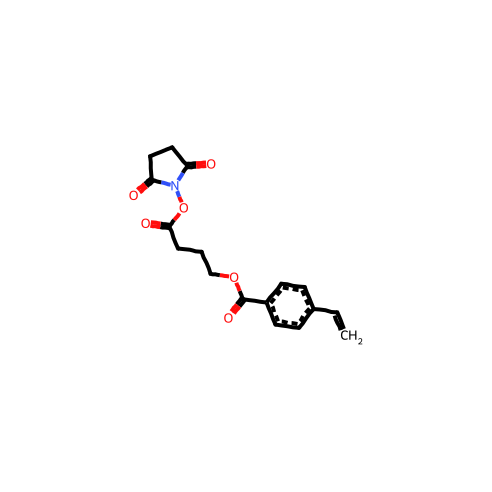 C=Cc1ccc(C(=O)OCCCC(=O)ON2C(=O)CCC2=O)cc1